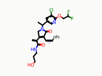 C=C(C(=O)NCCCO)C1=C(/C=C\CCC)C(=O)N(C(C)c2cnc(OCC(F)F)c(Cl)c2)C1